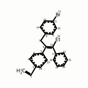 C=Cc1ccc(/C(Cc2ccc(Br)cc2)=C(/CC)c2ccccc2)cc1